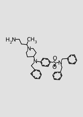 CC(CCN)N1CCC(N(Cc2ccccc2)c2ccc(S(=O)(=O)N(Cc3ccccc3)Cc3ccccc3)cc2)CC1